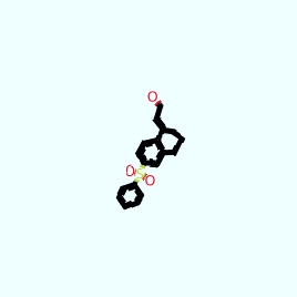 O=C/C=C1\CCCc2cc(S(=O)(=O)c3ccccc3)ccc21